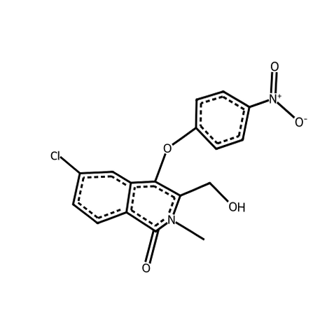 Cn1c(CO)c(Oc2ccc([N+](=O)[O-])cc2)c2cc(Cl)ccc2c1=O